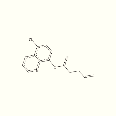 C=CCCC(=O)Oc1ccc(Cl)c2cccnc12